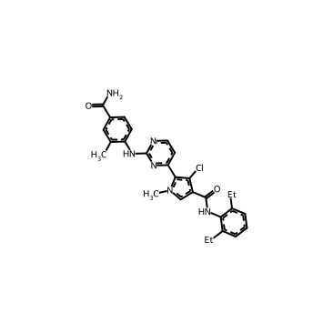 CCc1cccc(CC)c1NC(=O)c1cn(C)c(-c2ccnc(Nc3ccc(C(N)=O)cc3C)n2)c1Cl